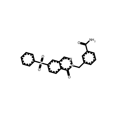 NC(=O)c1cccc(Cn2ncc3cc(S(=O)(=O)c4ccccc4)ccc3c2=O)c1